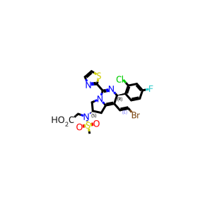 CS(=O)(=O)N(CC(=O)O)[C@H]1CC2=C(/C=C/Br)[C@H](c3ccc(F)cc3Cl)N=C(c3nccs3)N2C1